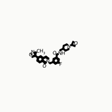 Cc1nocc1-c1ccc2c(=O)n(Cc3cc(F)cc(C(=O)NCC4CCN(C5COC5)CC4)c3)ccc2c1